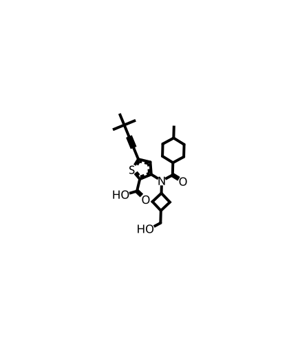 CC1CCC(C(=O)N(c2cc(C#CC(C)(C)C)sc2C(=O)O)C2CC(CO)C2)CC1